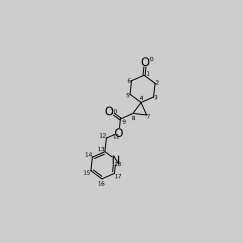 O=C1CCC2(CC1)CC2C(=O)OCc1ccccn1